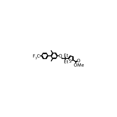 CCC(CC)(COc1cc(C)c(-c2ccc(C(F)(F)F)cc2)c(C)c1)c1ccc(C(=O)OC)s1